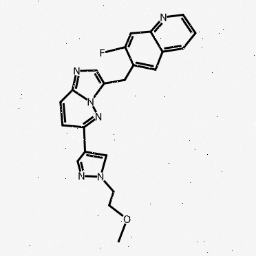 COCCn1cc(-c2ccc3ncc(Cc4cc5cccnc5cc4F)n3n2)cn1